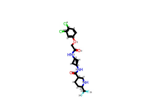 O=C(COc1ccc(Cl)c(Cl)c1)NC12CC(NC(=O)C3CCC(C(F)F)NC3)(C1)C2